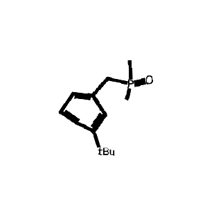 CC(C)(C)c1cccc(CP(C)(C)=O)c1